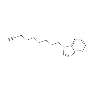 C#CCCCCCCCC1C=Cc2ccccc21